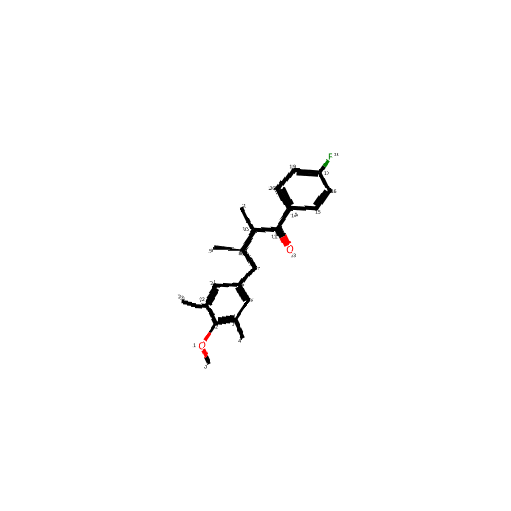 COc1c(C)cc(C[C@@H](C)C(C)C(=O)c2ccc(F)cc2)cc1C